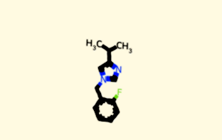 CC(C)c1cn(Cc2ccccc2F)cn1